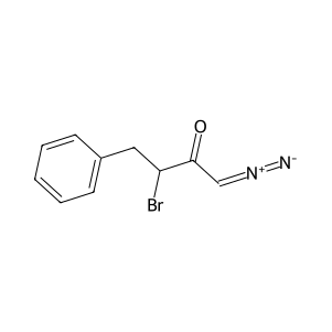 [N-]=[N+]=CC(=O)C(Br)Cc1ccccc1